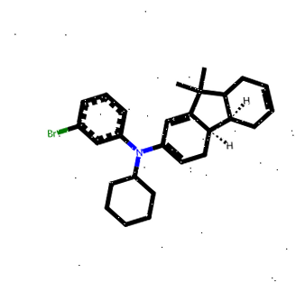 CC1(C)C2=CC(N(c3cccc(Br)c3)C3CCCCC3)=CC[C@@H]2[C@@H]2CC=CCC21